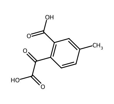 Cc1ccc(C(=O)C(=O)O)c(C(=O)O)c1